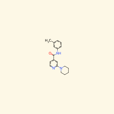 Cc1cccc(NC(=O)c2ccnc(N3CCCCC3)c2)c1